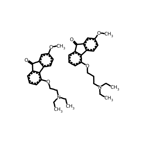 CCN(CC)CCCOc1cccc2c1-c1ccc(OC)cc1C2=O.CCN(CC)CCOc1cccc2c1-c1ccc(OC)cc1C2=O